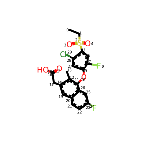 CCS(=O)(=O)c1cc(F)c(Oc2c(C)c(CC(=O)O)cc3ccc(F)cc23)cc1Cl